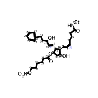 CCNC(=O)CCC/C=C\C[C@@H]1[C@@H](/C=C/[C@@H](O)CCc2ccccc2)[C@H](OC(=O)CCCCCO[N+](=O)[O-])C[C@@H]1O